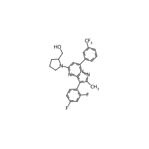 Cc1nn2c(-c3cccc(C(F)(F)F)c3)cc(N3CCCC3CO)nc2c1-c1ccc(F)cc1F